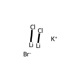 [Br-].[K+].[Li][Cl].[Li][Cl]